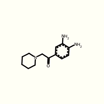 Nc1ccc(C(=O)CN2CCCCC2)cc1N